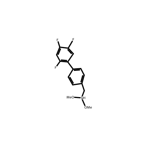 CO[SiH](Cc1ccc(-c2cc(F)c(F)cc2F)cc1)OC